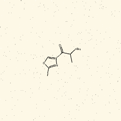 CCCCC(C)C(=O)c1coc(C)n1